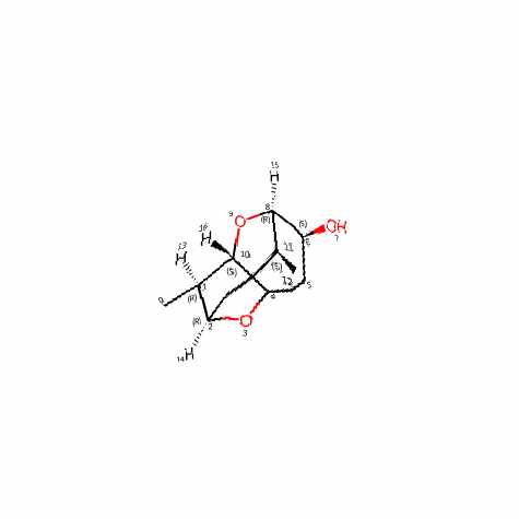 C[C@@H]1[C@@H]2OC3C[C@H](O)[C@H](O[C@H]31)[C@H]2C